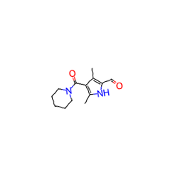 Cc1[nH]c(C=O)c(C)c1C(=O)N1CCCCC1